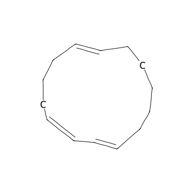 C1=C\CCC/C=C/CCCCC/C=C/1